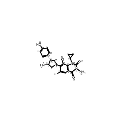 N[C@@H]1CN(c2c(F)cc3c(=O)n(N)c(=O)n(C4CC4)c3c2Cl)C[C@H]1c1ccc(O)cc1